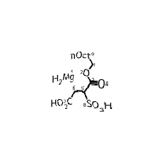 CCCCCCCCCOC(=O)C(CC(=O)O)S(=O)(=O)O.[MgH2]